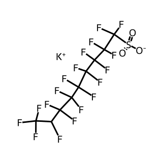 O=S(=O)([O-])C(F)(F)C(F)(F)C(F)(F)C(F)(F)C(F)(F)C(F)(F)C(F)(F)C(F)C(F)(F)F.[K+]